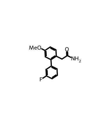 COc1ccc(CC(N)=O)c(-c2cccc(F)c2)c1